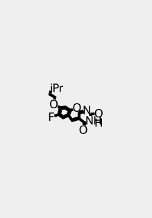 CC(C)CCOc1cc2c(cc1F)C=C1C(=O)NC(O)N=C1O2